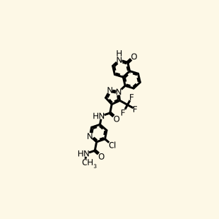 CNC(=O)c1ncc(NC(=O)c2cnn(-c3cccc4c(=O)[nH]ccc34)c2C(F)(F)F)cc1Cl